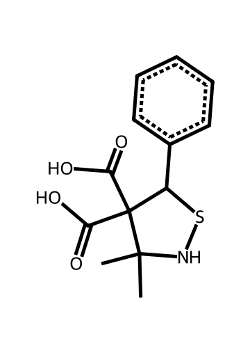 CC1(C)NSC(c2ccccc2)C1(C(=O)O)C(=O)O